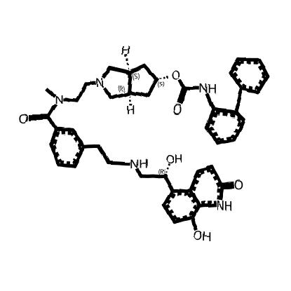 CN(CCN1C[C@H]2C[C@H](OC(=O)Nc3ccccc3-c3ccccc3)C[C@H]2C1)C(=O)c1cccc(CCNC[C@H](O)c2ccc(O)c3[nH]c(=O)ccc23)c1